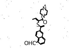 C=C(S/C(=C\C)C(=O)N1CCN(C)CC1)c1ccc2c(C=O)cccc2c1